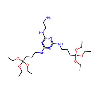 CCO[Si](CCCNc1nc(NCCN)nc(NCCC[Si](OCC)(OCC)OCC)n1)(OCC)OCC